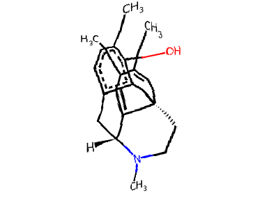 CC1=C[C@]23CCN(C)[C@H](Cc4ccc(C)c(O)c42)C3=CC1C